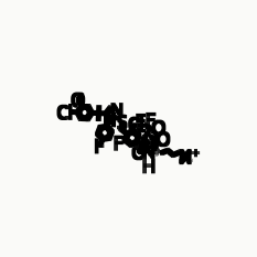 COc1cc(C(C)(C)c2cnc(SCc3c(F)cc(S(=O)(=O)N[C@@H](CCCC[N+](C)(C)C)C(=O)OC(=O)C(F)(F)F)cc3Cl)n2-c2ccc(F)cc2)ccc1Cl